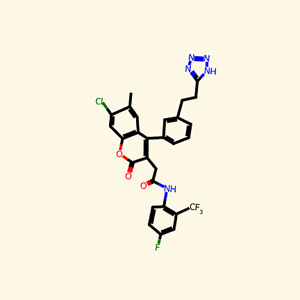 Cc1cc2c(-c3cccc(CCc4nnn[nH]4)c3)c(CC(=O)Nc3ccc(F)cc3C(F)(F)F)c(=O)oc2cc1Cl